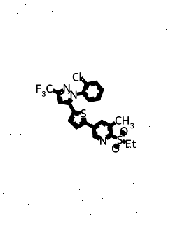 CCS(=O)(=O)c1ncc(-c2ccc(-c3cc(C(F)(F)F)nn3-c3ccccc3Cl)s2)cc1C